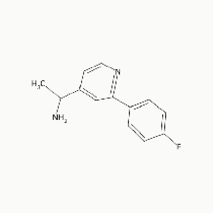 CC(N)c1ccnc(-c2ccc(F)cc2)c1